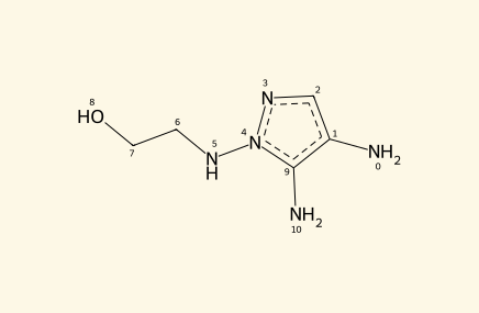 Nc1cnn(NCCO)c1N